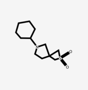 O=S1(=O)CC2(CCN(C3CCCCC3)C2)C1